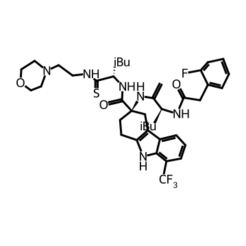 C=C(N[C@]1(C(=O)N[C@H](C(=S)NCCN2CCOCC2)C(C)CC)CCc2[nH]c3c(C(F)(F)F)cccc3c2C1)[C@@H](NC(=O)Cc1ccccc1F)C(C)CC